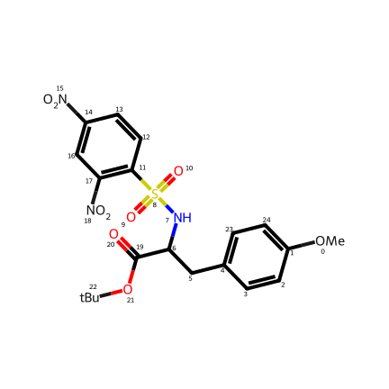 COc1ccc(CC(NS(=O)(=O)c2ccc([N+](=O)[O-])cc2[N+](=O)[O-])C(=O)OC(C)(C)C)cc1